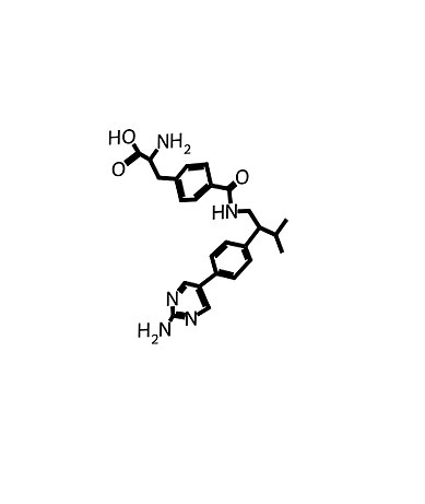 CC(C)C(CNC(=O)c1ccc(CC(N)C(=O)O)cc1)c1ccc(-c2cnc(N)nc2)cc1